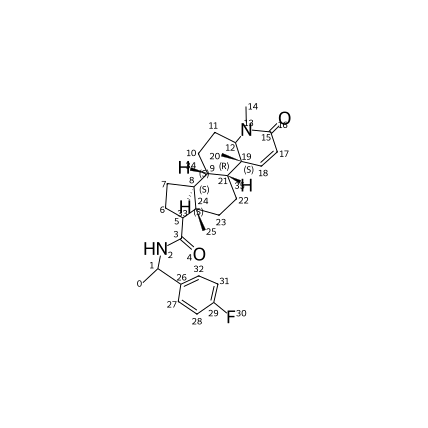 CC(NC(=O)C1CC[C@H]2[C@@H]3CCC4N(C)C(=O)C=C[C@]4(C)[C@@H]3CC[C@]12C)c1ccc(F)cc1